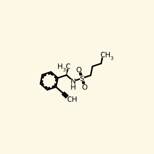 C#Cc1ccccc1[C@@H](C)NS(=O)(=O)CCCC